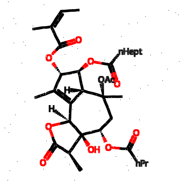 C/C=C(/C)C(=O)O[C@H]1C(C)=C2[C@H]([C@@H]1OC(=O)CCCCCCC)[C@@](C)(OC(C)=O)C[C@H](OC(=O)CCC)[C@]1(O)[C@@H](C)C(=O)O[C@@H]21